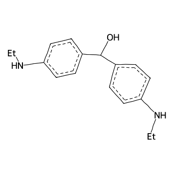 CCNc1ccc(C(O)c2ccc(NCC)cc2)cc1